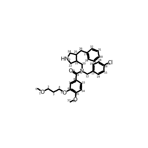 COCCCOc1cc(C(=O)N(Cc2ccc(Cl)cc2)CC2CNCC2Cc2ccccc2)ccc1OC